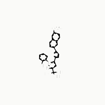 COc1ccc2cc(-c3ccc(-c4cc(C(C)(C)O)nn4-c4ccccc4Cl)s3)ccc2c1